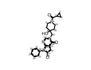 O=C(C1CC1)N1CCC(O)(Cn2cnc3c(cc(Cl)n3-c3ccccc3)c2=O)CC1